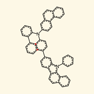 c1ccc(-c2ccccc2N(c2ccc(-c3ccc4c5ccc6ccccc6c5n(-c5ccccc5)c4c3)cc2)c2ccc3c(ccc4ccccc43)c2)cc1